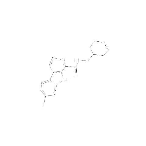 O=C(NCC1CCOCC1)c1nccc2c1[nH]c1cc(F)ccc12